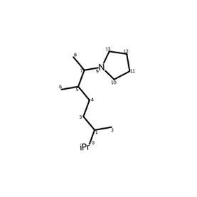 CC(C)C(C)CCC(C)C(C)N1CCCC1